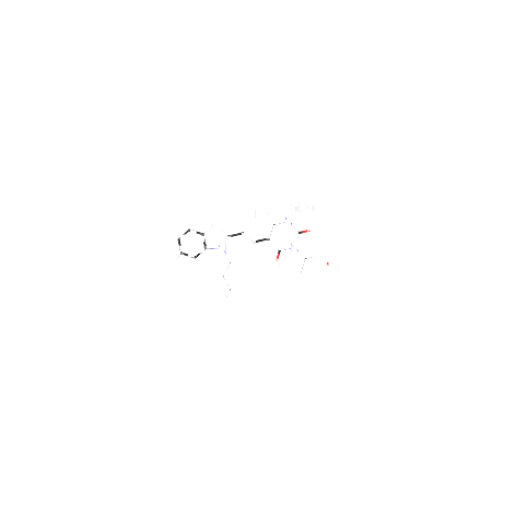 CCCCN1C(=O)N(C(C)OO)C(=O)C(=CC=C2Oc3ccc(C)cc3N2CCCS(=O)(=O)O)C1O